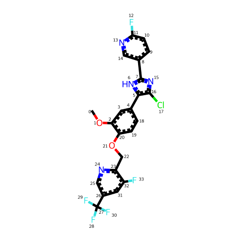 COc1cc(-c2[nH]c(-c3ccc(F)nc3)nc2Cl)ccc1OCc1ncc(C(F)(F)F)cc1F